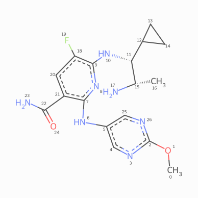 COc1ncc(Nc2nc(N[C@H](C3CC3)[C@H](C)N)c(F)cc2C(N)=O)cn1